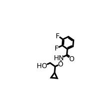 O=C(NOC(CO)C1CC1)c1cccc(F)c1F